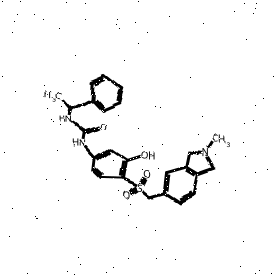 CC(NC(=O)Nc1ccc(S(=O)(=O)Cc2ccc3c(c2)CN(C)C3)c(O)c1)c1ccccc1